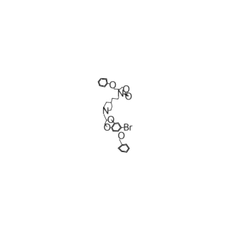 O=C1OCC(COc2ccccc2)N1CCC1CCN(CC2COc3cc(OCc4ccccc4)c(Br)cc3O2)CC1